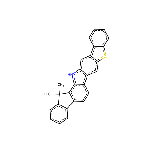 CC1(C)c2ccccc2-c2ccc3c([nH]c4cc5c(cc43)sc3ccccc35)c21